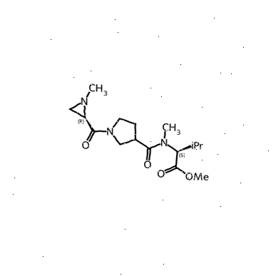 COC(=O)[C@H](C(C)C)N(C)C(=O)C1CCN(C(=O)[C@H]2CN2C)C1